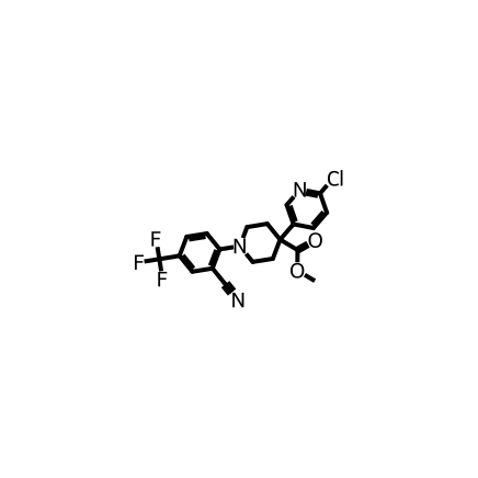 COC(=O)C1(c2ccc(Cl)nc2)CCN(c2ccc(C(F)(F)F)cc2C#N)CC1